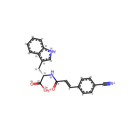 N#Cc1ccc(C=CC(=O)N[C@@H](Cc2c[nH]c3ccccc23)C(=O)O)cc1